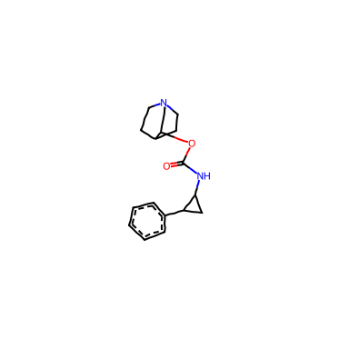 O=C(NC1CC1c1ccccc1)OC1CN2CCC1CC2